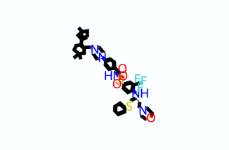 CC1(C)CCC(C2CC3(C)CC2C3)=C(CN2CCN(c3ccc(C(=O)NS(=O)(=O)c4ccc(N[C@H](CCN5CCOCC5)CSc5ccccc5)c(C(F)(F)F)c4)cc3)CC2)C1